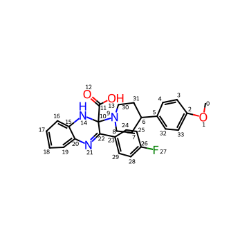 COc1ccc(C2CCN(C3(C(=O)O)Nc4ccccc4N=C3c3ccc(F)cc3)CC2)cc1